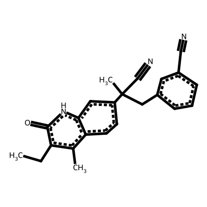 CCc1c(C)c2ccc(C(C)(C#N)Cc3cccc(C#N)c3)cc2[nH]c1=O